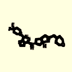 FC1(F)CCN(c2nnc(N[C@@H]3CC4CN(CC5CCOCC5)C[C@H]4C3)c3ccsc23)CC1